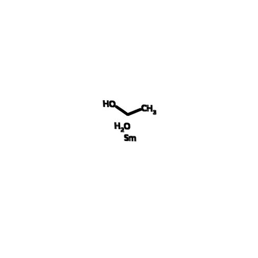 CCO.O.[Sm]